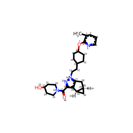 Cc1cccnc1OC1CCC(CCn2nc(C(=O)N3CCC(O)CC3)c3c2C[C@H]2C[C@@H]32)CC1